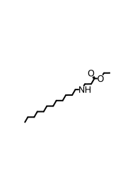 CCCCCCCCCCCCNCCC(=O)OCC